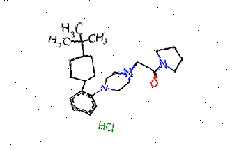 CC(C)(C)C1CCC(c2ccccc2N2CCN(CC(=O)N3CCCC3)CC2)CC1.Cl